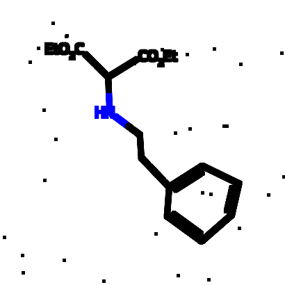 CCOC(=O)C(NCCc1ccccc1)C(=O)OCC